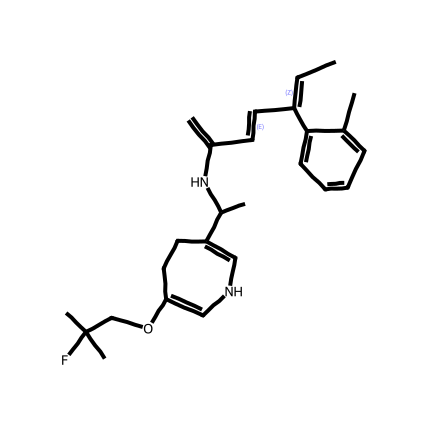 C=C(/C=C/C(=C/C)c1ccccc1C)NC(C)C1=CNC=C(OCC(C)(C)F)CC1